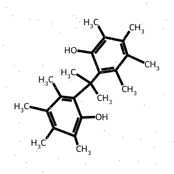 Cc1c(C)c(C)c(C(C)(C)c2c(C)c(C)c(C)c(C)c2O)c(O)c1C